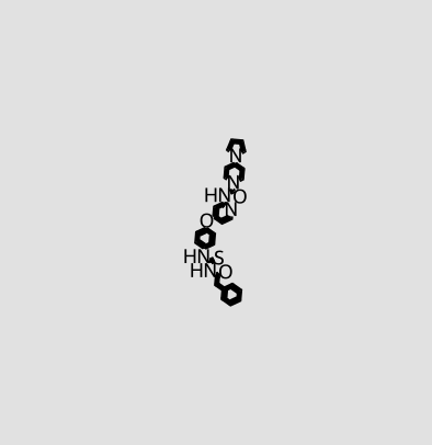 O=C(Cc1ccccc1)NC(=S)Nc1ccc(Oc2ccnc(NC(=O)N3CCC(N4CCCC4)CC3)c2)cc1